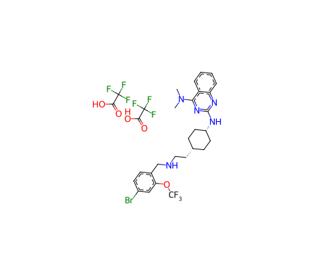 CN(C)c1nc(N[C@H]2CC[C@@H](CCNCc3ccc(Br)cc3OC(F)(F)F)CC2)nc2ccccc12.O=C(O)C(F)(F)F.O=C(O)C(F)(F)F